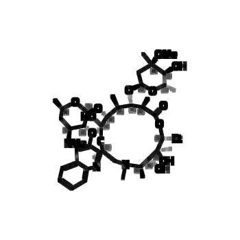 CC[C@H]1OC(=O)[C@H](C)[C@@H](O[C@H]2C[C@@](C)(OC)[C@@H](O)[C@H](C)O2)[C@H](C)[C@@H](O[C@@H]2O[C@H](C)C[C@H](NC)[C@H]2Oc2cnc3ccccc3c2)[C@](C)(O)C[C@@H](C)CN(C)[C@H](C)[C@@H](O)[C@]1(C)O